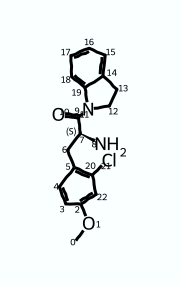 COc1ccc(C[C@H](N)C(=O)N2CCc3ccccc32)c(Cl)c1